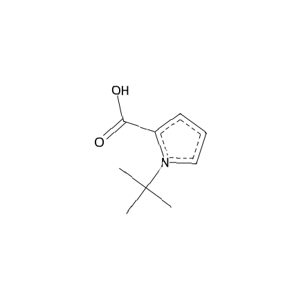 CC(C)(C)n1cccc1C(=O)O